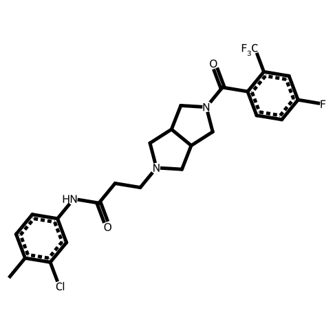 Cc1ccc(NC(=O)CCN2CC3CN(C(=O)c4ccc(F)cc4C(F)(F)F)CC3C2)cc1Cl